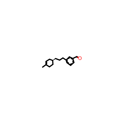 CC1=CC[C@@H](CCCc2cccc(C=O)c2)CC1